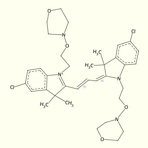 CC1(C)C(/C=C/C=C2/N(CCON3CCOCC3)c3ccc(Cl)cc3C2(C)C)=[N+](CCON2CCOCC2)c2ccc(Cl)cc21